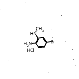 CNc1cc(Br)ccc1N.Cl